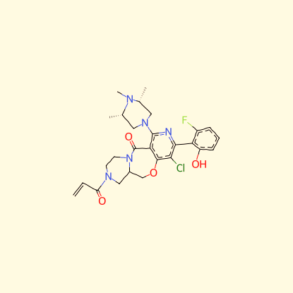 C=CC(=O)N1CCN2C(=O)c3c(N4C[C@@H](C)N(C)[C@@H](C)C4)nc(-c4c(O)cccc4F)c(Cl)c3OCC2C1